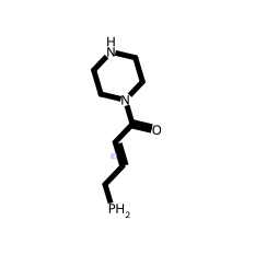 O=C(/C=C/CP)N1CCNCC1